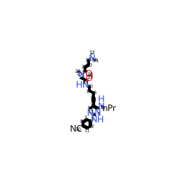 CCCNc1nc(Nc2ccc(C#N)cc2)ncc1C#CCCCNC(=O)CN(C)C(=O)C=CCN(C)C